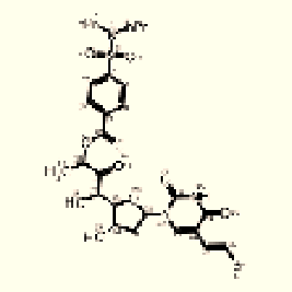 CCCN(CCC)S(=O)(=O)c1ccc(C(=O)OC(C)C(=O)C(O)[C@H]2O[C@@H](n3cc(/C=C/Br)c(=O)[nH]c3=O)C[C@@H]2O)cc1